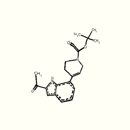 CC(=O)c1cc2cccc(C3=CCN(C(=O)OC(C)(C)C)CC3)c2[nH]1